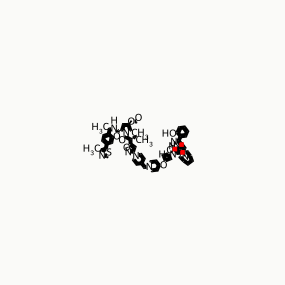 Cc1ncsc1-c1ccc([C@H](C)NC(=O)[C@@H]2C[C@@H](OC=O)CN2C(=O)[C@@H](c2cc(N3CCC(CN4CCC(OC5CC(Oc6cc(N7C8CCC7CN(c7cc(-c9ccccc9O)nnc7N)C8)ccn6)C5)CC4)CC3)no2)C(C)C)cc1